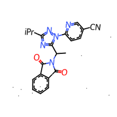 CC(C)c1nc(C(C)N2C(=O)c3ccccc3C2=O)n(-c2ccc(C#N)cn2)n1